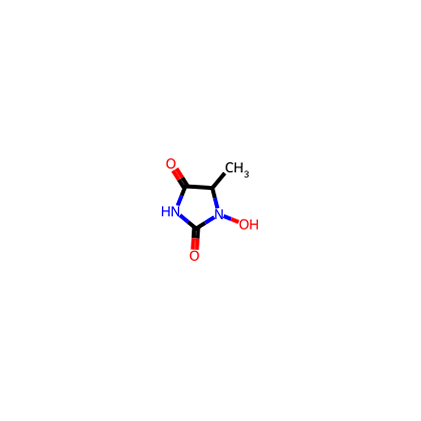 CC1C(=O)NC(=O)N1O